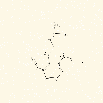 COc1cccc(C=O)c1OCCC(N)=O